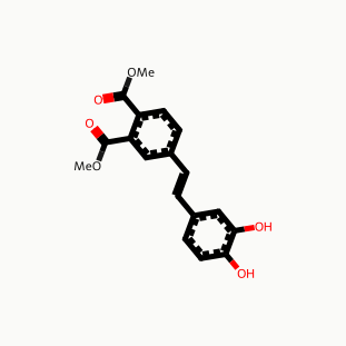 COC(=O)c1ccc(C=Cc2ccc(O)c(O)c2)cc1C(=O)OC